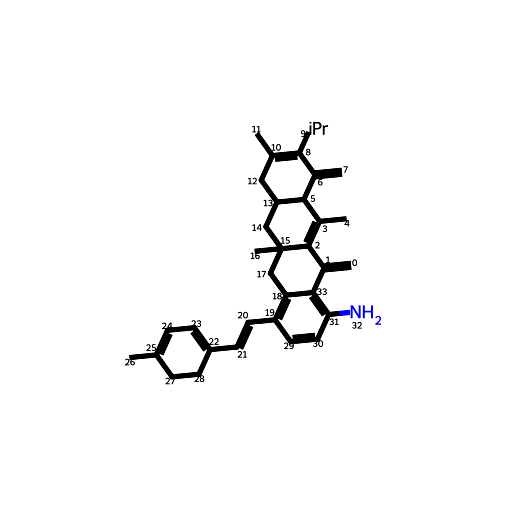 C=C1C2=C(C)C3C(=C)C(C(C)C)=C(C)CC3CC2(C)Cc2c(/C=C/C3=CC=C(C)CC3)ccc(N)c21